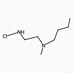 CCCCN(C)CCNCl